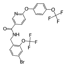 O=C(NCc1ccc(Br)cc1OC(F)(F)F)c1ccc(Oc2ccc(OC(F)(F)F)cc2)nc1